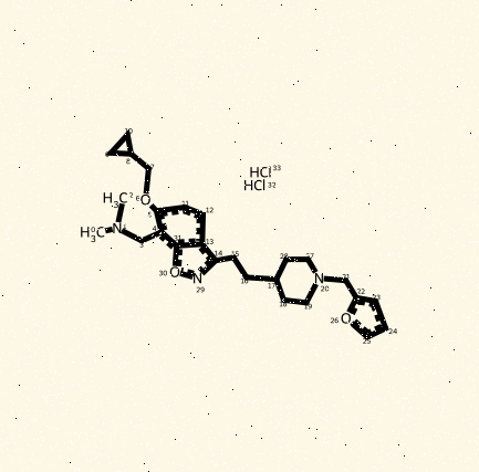 CN(C)Cc1c(OCC2CC2)ccc2c(CCC3CCN(Cc4ccco4)CC3)noc12.Cl.Cl